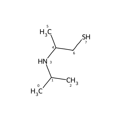 CC(C)NC(C)CS